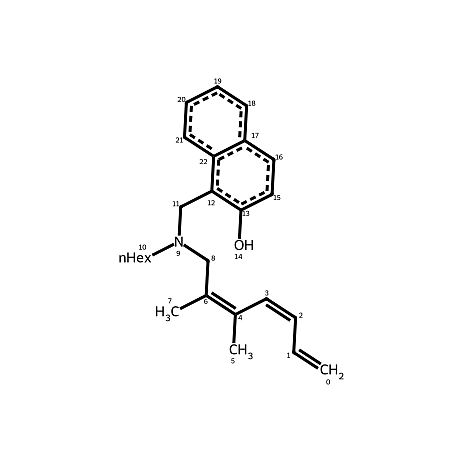 C=C/C=C\C(C)=C(\C)CN(CCCCCC)Cc1c(O)ccc2ccccc12